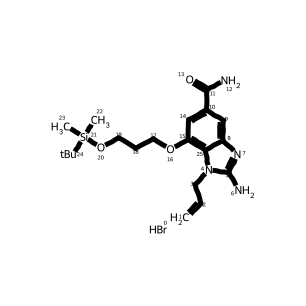 Br.C=CCn1c(N)nc2cc(C(N)=O)cc(OCCCO[Si](C)(C)C(C)(C)C)c21